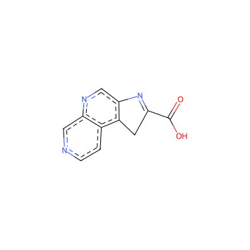 O=C(O)C1=Nc2cnc3cnccc3c2C1